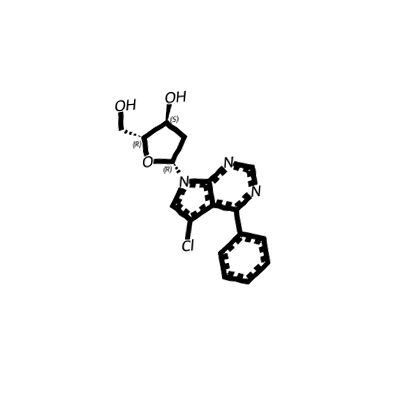 OC[C@H]1O[C@@H](n2cc(Cl)c3c(-c4ccccc4)ncnc32)C[C@@H]1O